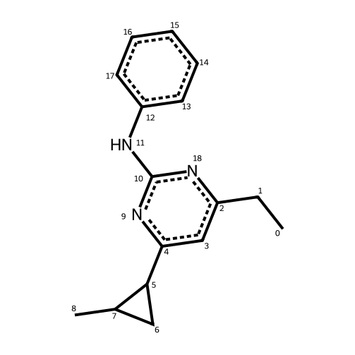 CCc1cc(C2CC2C)nc(Nc2ccccc2)n1